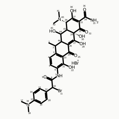 Br.CC1c2ccc(NC(=O)C(Br)c3ccc(N(C)C)cc3)c(O)c2C(=O)C2=C(O)[C@]3(O)C(=O)C(C(N)=O)=C(O)[C@@H](N(C)C)C3C(O)C21